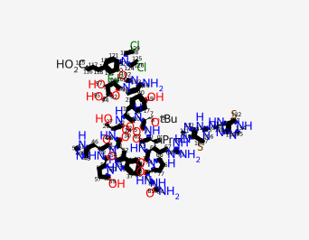 CC(C)C[C@H](NC(=O)[C@@H](COC(C)(C)C)NC(=O)[C@H](Cc1ccc(O)cc1)NC(=O)[C@H](CO)NC(=O)[C@H](Cc1c[nH]c2ccccc12)NC(=O)[C@H](Cc1cnc[nH]1)NC(=O)[C@@H]1CCC(O)=N1)C(=O)N[C@@H](CCCNC(=N)N)C(=O)N1CCC[C@H]1C(=O)NNC(N)=O.Nc1ccn([C@@H]2O[C@H](CO)[C@@H](O)C2(F)F)c(=O)n1.Nc1nc(=S)c2[nH]cnc2[nH]1.O=C(O)CCCc1ccc(N(CCCl)CCCl)cc1.S=c1[nH]cnc2nc[nH]c12